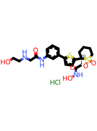 Cl.O=C(C[C@]1(c2ccc(-c3cccc(NC(=O)CNCCO)c3)s2)CCCCS1(=O)=O)NO